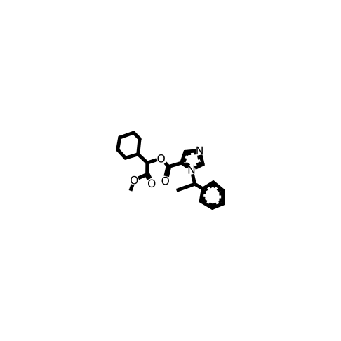 COC(=O)C(OC(=O)c1cncn1C(C)c1ccccc1)C1CCCCC1